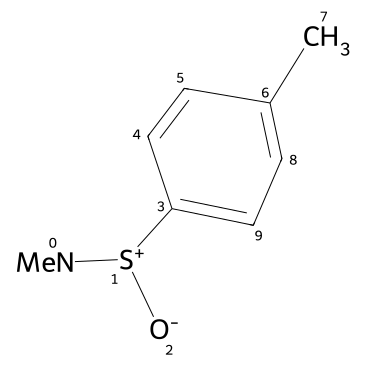 CN[S+]([O-])c1ccc(C)cc1